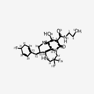 O=C(NCCO)c1c(O)c2c3n(c1=O)CC(F)(F)CNC=3C(CC1=CCC(F)C=C1)CN=2